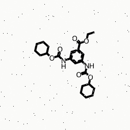 CCOC(=O)c1cc(NC(=O)OC2CCCCC2)cc(NC(=O)OC2CCCCC2)c1